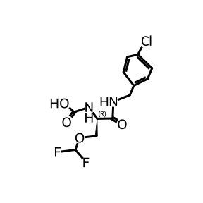 O=C(O)N[C@H](COC(F)F)C(=O)NCc1ccc(Cl)cc1